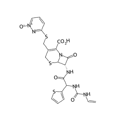 C=CNC(=O)NC(C(=O)N[C@H]1C(=O)N2C(C(=O)O)=C(CSc3ccc[n+]([O-])n3)CSC12)c1cccs1